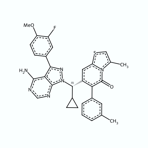 COc1ccc(-c2nn([C@H](c3cc4scc(C)n4c(=O)c3-c3cccc(C)c3)C3CC3)c3ncnc(N)c23)cc1F